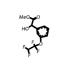 COC(=O)C(O)c1cccc(OC(F)(F)C(F)F)c1